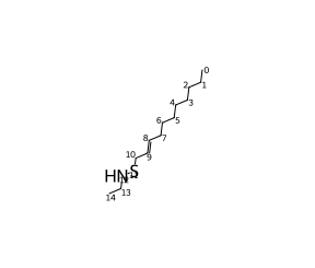 CCCCCCCCC=CCSNCC